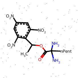 CCCCCC(N)(N)C(=O)OC(C)c1c([N+](=O)[O-])cc([N+](=O)[O-])cc1[N+](=O)[O-]